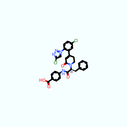 O=C(O)c1ccc(NC(=O)[C@H](Cc2ccccc2)N2CCC(c3cc(Cl)ccc3-n3cc(Cl)nn3)=CC2=O)cc1